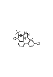 CC(C)c1nncn1-c1c(C(=O)NC(C)(C)C)cccc1-c1ccc(Cl)cc1